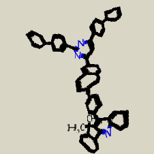 CC1(C)c2ccccc2-c2nc3ccccc3c(-c3ccc(-c4ccc5cc(-c6cc(-c7ccc(-c8ccccc8)cc7)nc(-c7ccc(-c8ccccc8)cc7)n6)ccc5c4)cc3)c21